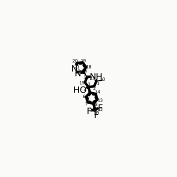 C[C@H]1CC(O)(c2ccc(C(F)(F)F)cc2)C[C@@H](c2cccnn2)N1